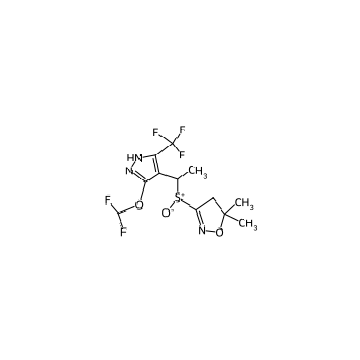 CC(c1c(OC(F)F)n[nH]c1C(F)(F)F)[S+]([O-])C1=NOC(C)(C)C1